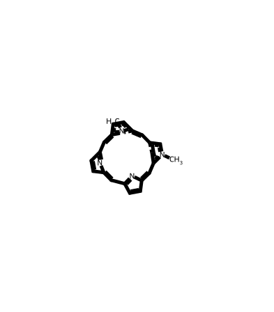 Cn1cc2cc1/C=C1/C=CC(=N1)/C=C1/C=CC(=N1)/C=c1/cc/c(n1C)=C/2